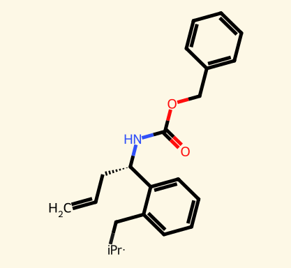 C=CC[C@H](NC(=O)OCc1ccccc1)c1ccccc1C[C](C)C